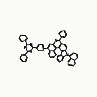 c1ccc(-c2nc(-c3ccccc3)nc(-c3ccc(-c4cc5nc(-c6ccccc6)c6ccc7c(c8ccccc8n7-c7cccc8ccccc78)c6c5c5ccccc45)cc3)n2)cc1